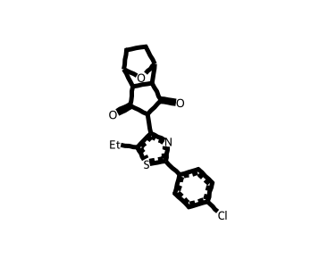 CCc1sc(-c2ccc(Cl)cc2)nc1C1C(=O)C2C3CCC(O3)C2C1=O